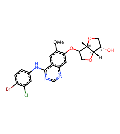 COc1cc2c(Nc3ccc(Br)c(Cl)c3)ncnc2cc1OC1CO[C@H]2[C@@H](O)CO[C@@H]12